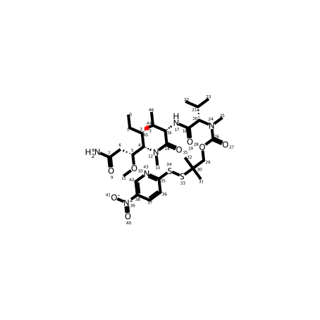 CC[C@H](C)[C@@H]([C@@H](CC(N)=O)OC)N(C)C(=O)[C@@H](NC(=O)[C@H](C(C)C)N(C)C(=O)OCC(C)(C)SSc1ccc([N+](=O)[O-])cn1)C(C)C